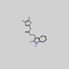 C=C(CCc1c(C)n(C)c2ccccc12)CC1=CC(C)=C(C)C1